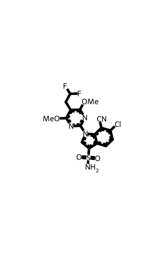 COc1nc(-n2cc(S(N)(=O)=O)c3ccc(Cl)c(C#N)c32)nc(OC)c1CC(F)F